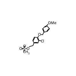 COc1ccc(COc2ccc(CCOS(C)(=O)=O)cc2Cl)cc1